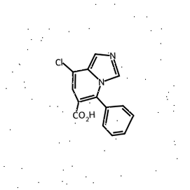 O=C(O)c1cc(Cl)c2cncn2c1-c1ccccc1